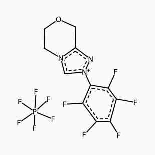 F[P-](F)(F)(F)(F)F.Fc1c(F)c(F)c(-[n+]2cn3c(n2)COCC3)c(F)c1F